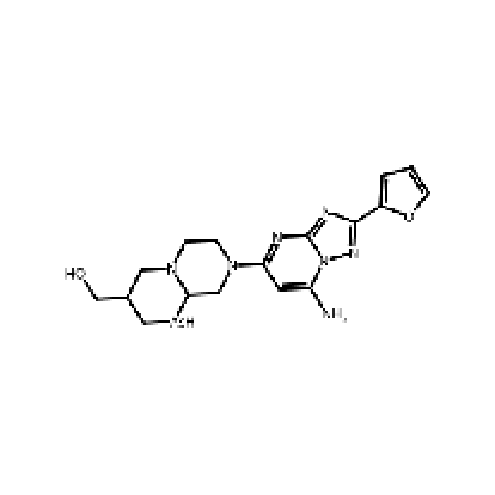 Nc1cc(N2CCN3CC(CO)C[AsH]C3C2)nc2nc(-c3ccco3)nn12